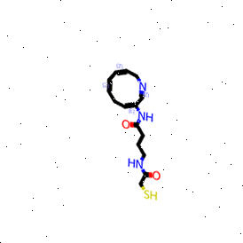 O=C(CS)NCCCC(=O)NC1=C/C/C=C\C=C/C/N=C\1